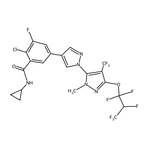 Cn1nc(OC(F)(F)C(F)C(F)(F)F)c(C(F)(F)F)c1-n1cc(-c2cc(F)c(Cl)c(C(=O)NC3CC3)c2)cn1